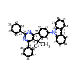 CC1(C)c2cc(-n3c4ccccc4c4ccccc43)ccc2-c2nc(-c3ccccc3)nc(-c3ccccc3)c21